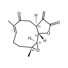 C=C1C(=O)O[C@@H]2[C@H]3O[C@]3(C)CC/C=C(\C)C(=O)C[C@@H]12